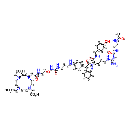 CCC(=O)NCCNC(=O)/N=C(/N)NCCC[C@@H](NC(=O)C(c1ccccc1)c1ccc(NCCCNC(=O)NOCCNC(=O)CN2CCN(CC(=O)O)CCN(CC(=O)O)CCN(CC(=O)O)CC2)cc1)C(=O)NCc1ccc(O)cc1